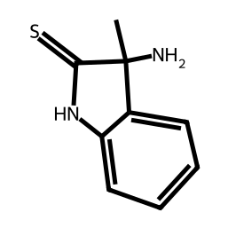 CC1(N)C(=S)Nc2ccccc21